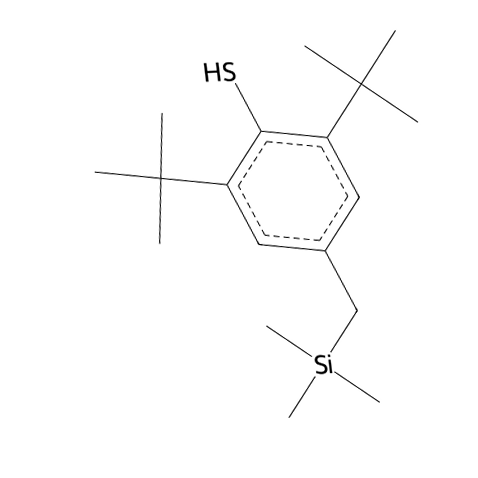 CC(C)(C)c1cc(C[Si](C)(C)C)cc(C(C)(C)C)c1S